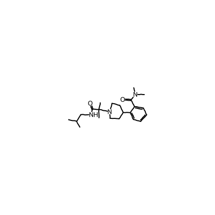 CC(C)CNC(=O)C(C)(C)N1CCC(c2ccccc2C(=O)N(C)C)CC1